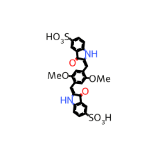 COc1cc(C=C2Nc3ccc(S(=O)(=O)O)cc3C2=O)c(OC)cc1C=C1Nc2ccc(S(=O)(=O)O)cc2C1=O